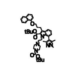 Cc1nn(C)c(C)c1-c1cccc2c(CCCOc3cccc4ccccc34)c(C(=O)OC(C)(C)C)n(CCN3CCN(C(=O)OC(C)(C)C)CC3)c12